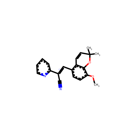 COc1ccc(/C=C(\C#N)c2ccccn2)c2c1OC(C)(C)C=C2